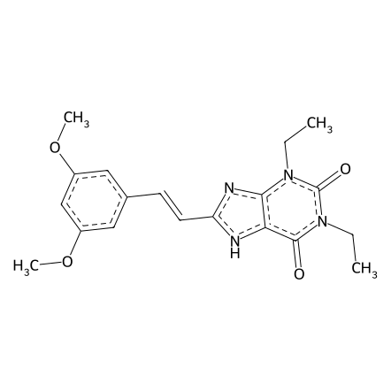 CCn1c(=O)c2[nH]c(C=Cc3cc(OC)cc(OC)c3)nc2n(CC)c1=O